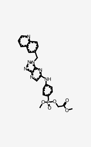 COC(=O)COP(=O)(OC)c1ccc(Nc2cnc3nnn(Cc4ccc5ncccc5c4)c3n2)cc1